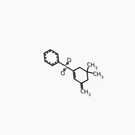 C=C1C=C(S(=O)(=O)c2ccccc2)CC(C)(C)C1